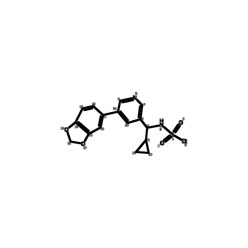 CCS(=O)(=O)NC(c1cncc(-c2ccc3c(c2)OCO3)c1)C1CC1